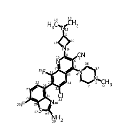 CN1CCN(c2c(C#N)c(N3CC(N(C)C)C3)nc3c(F)c(-c4ccc(F)c5sc(N)nc45)c(Cl)cc23)CC1